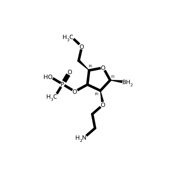 B[C@@H]1O[C@H](COC)C(OP(C)(=O)O)[C@@H]1OCCN